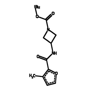 Cc1ccoc1C(=O)NC1CN(C(=O)OC(C)(C)C)C1